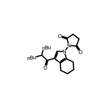 CCCCC(CCCC)C(=O)c1cn(N2C(=O)CCC2=O)c2c1CCCC2